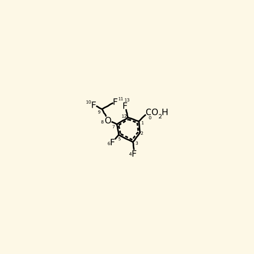 O=C(O)c1cc(F)c(F)c(OC(F)F)c1F